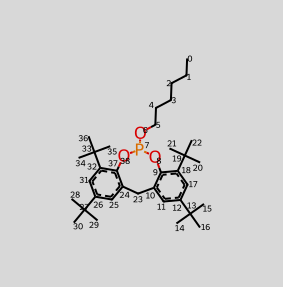 CCCCCCOP1Oc2c(cc(C(C)(C)C)cc2C(C)(C)C)Cc2cc(C(C)(C)C)cc(C(C)(C)C)c2O1